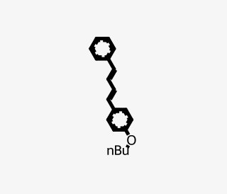 CCCCOc1ccc(/C=C/C=C/c2ccccc2)cc1